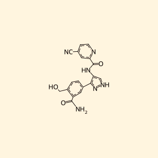 N#Cc1ccnc(C(=O)Nc2c[nH]nc2-c2ccc(CO)c(C(N)=O)c2)c1